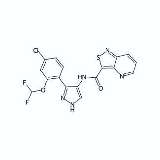 O=C(Nc1c[nH]nc1-c1ccc(Cl)cc1OC(F)F)c1snc2cccnc12